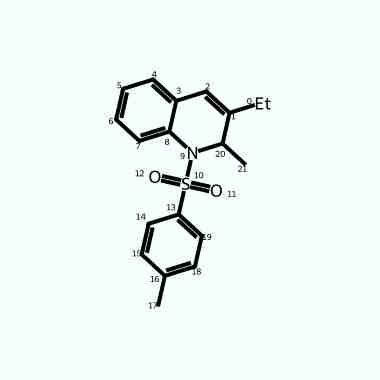 CCC1=Cc2ccccc2N(S(=O)(=O)c2ccc(C)cc2)C1C